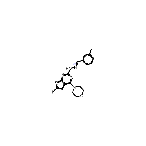 Cc1cccc(/C=N/Nc2nc(N3CCOCC3)c3cc(I)sc3n2)c1